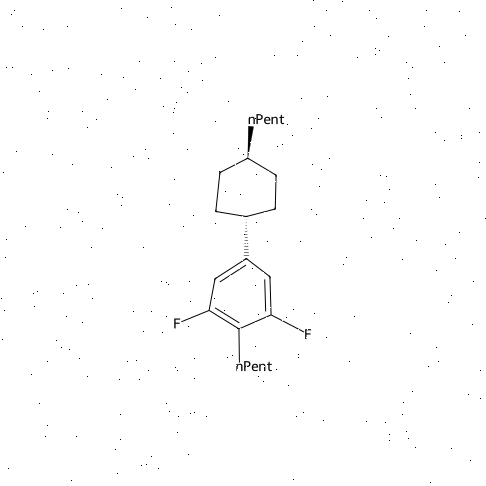 CCCCCc1c(F)cc([C@H]2CC[C@H](CCCCC)CC2)cc1F